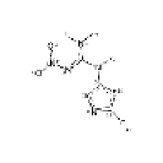 CN(C)C(=N[N+](=O)[O-])N(C)c1cnc(Cl)s1